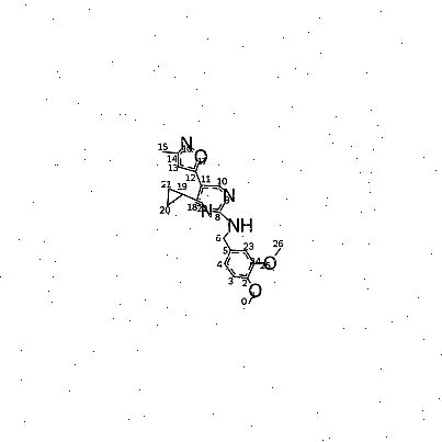 COc1ccc(CNc2ncc(-c3cc(C)no3)c(C3CC3)n2)cc1OC